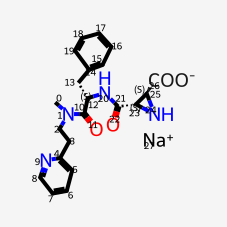 CN(CCc1ccccn1)C(=O)[C@H](Cc1ccccc1)NC(=O)[C@H]1N[C@@H]1C(=O)[O-].[Na+]